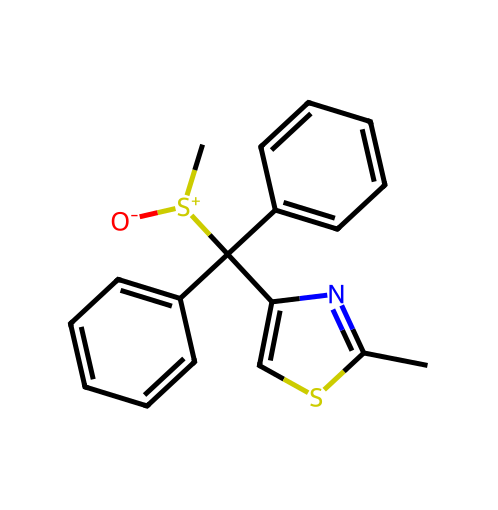 Cc1nc(C(c2ccccc2)(c2ccccc2)[S+](C)[O-])cs1